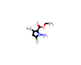 CCOC(=O)c1c(C)cc(Cl)n1N